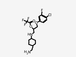 NCC1CCC(NCC(COc2ccc(Cl)c(F)c2)OC(=O)C(F)(F)F)CC1